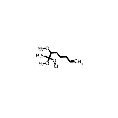 C=CCCCC(OCC)C([SiH3])(OCC)OCC